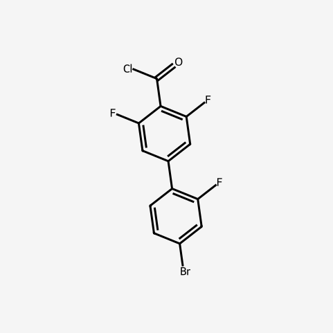 O=C(Cl)c1c(F)cc(-c2ccc(Br)cc2F)cc1F